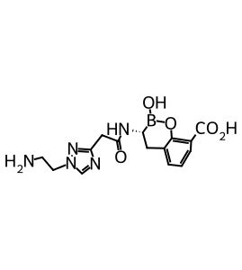 NCCn1cnc(CC(=O)N[C@H]2Cc3cccc(C(=O)O)c3OB2O)n1